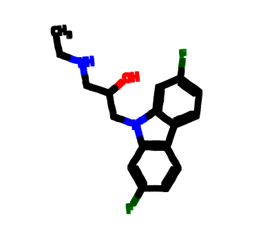 CCNCC(O)Cn1c2cc(F)ccc2c2ccc(F)cc21